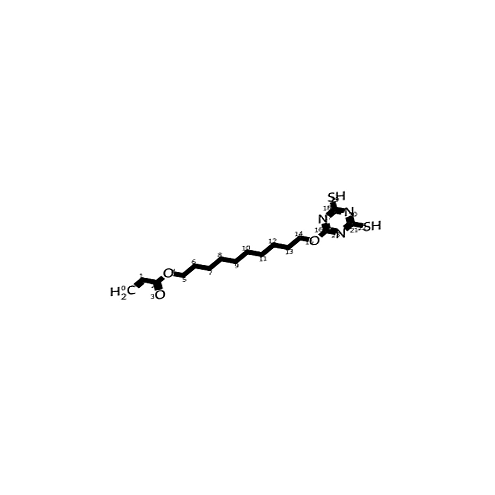 C=CC(=O)OCCCCCCCCCCOc1nc(S)nc(S)n1